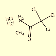 C.Cl.Cl.NC(=O)C(Cl)(Cl)Cl